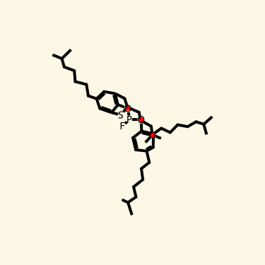 CC(C)CCCCCc1ccc(OP(F)Oc2c3cc(CCCCCC(C)C)cc2SC(CCCC(C)C)C3)c(CCCCCC(C)C)c1